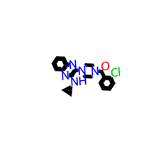 O=C(c1ccccc1Cl)N1CCN(c2nc3ccccc3nc2NC2CC2)CC1